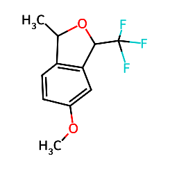 COc1ccc2c(c1)C(C(F)(F)F)OC2C